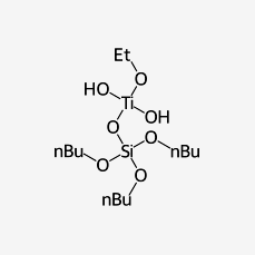 CCCCO[Si](OCCCC)(OCCCC)[O][Ti]([OH])([OH])[O]CC